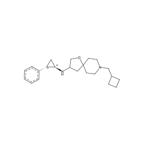 c1ccc([C@@H]2C[C@H]2NC2COC3(CCN(CC4CCC4)CC3)C2)cc1